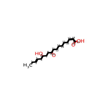 CCC=CCC(O)CCC(=O)CCCCCC/C=C\C(=O)O